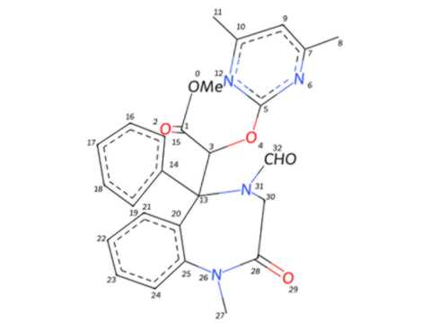 COC(=O)C(Oc1nc(C)cc(C)n1)C1(c2ccccc2)c2ccccc2N(C)C(=O)CN1C=O